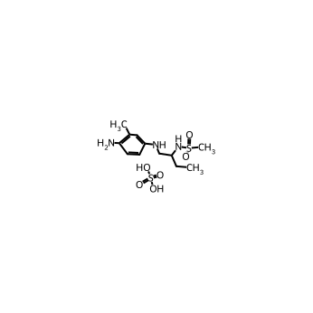 CCC(CNc1ccc(N)c(C)c1)NS(C)(=O)=O.O=S(=O)(O)O